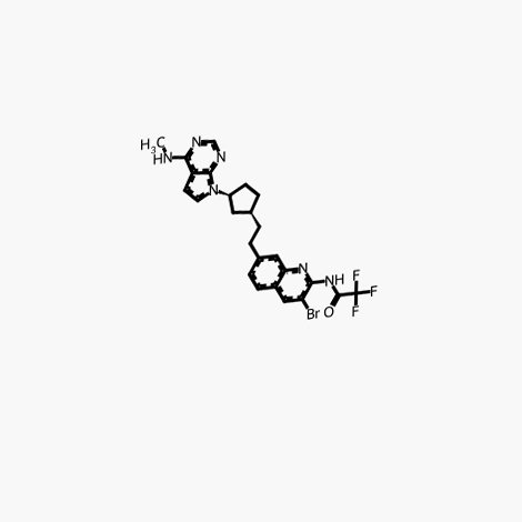 CNc1ncnc2c1ccn2[C@H]1CC[C@@H](CCc2ccc3cc(Br)c(NC(=O)C(F)(F)F)nc3c2)C1